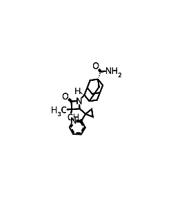 CC1(C)C(=O)N([C@H]2C3CC4CC2C[C@](C(N)=O)(C4)C3)C1C1(c2ccccn2)CC1